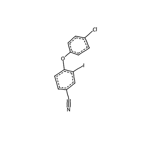 N#Cc1ccc(Oc2ccc(Cl)cc2)c(I)c1